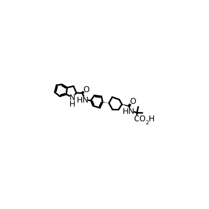 CC(C)(NC(=O)[C@H]1CC[C@H](c2ccc(NC(=O)C3Cc4ccccc4N3)cc2)CC1)C(=O)O